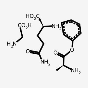 C[C@H](N)C(=O)Oc1ccccc1.NC(=O)CC[C@H](N)C(=O)O.NCC(=O)O